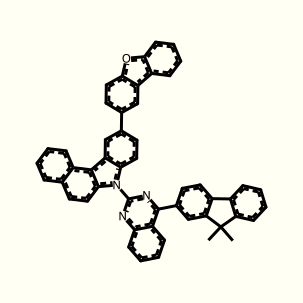 CC1(C)c2ccccc2-c2ccc(-c3nc(-n4c5ccc(-c6ccc7oc8ccccc8c7c6)cc5c5c6ccccc6ccc54)nc4ccccc34)cc21